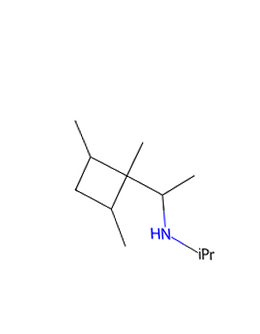 CC(C)NC(C)C1(C)C(C)CC1C